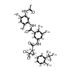 CC(=O)Nc1cc(NC(=O)c2cc(NC(=O)[C@H]3[C@H](c4ccc(F)c(C(F)(F)F)c4)C3(Cl)Cl)cc(F)c2F)c(F)cc1F